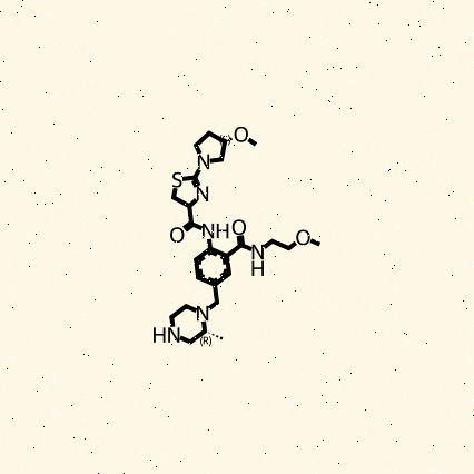 COCCNC(=O)c1cc(CN2CCNC[C@H]2C)ccc1NC(=O)C1CSC(N2CC[C@H](OC)C2)=N1